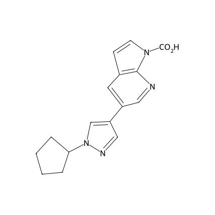 O=C(O)n1ccc2cc(-c3cnn(C4CCCC4)c3)cnc21